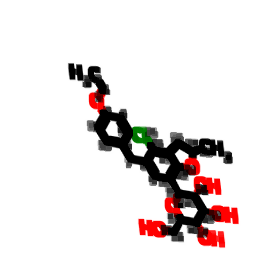 CCOc1ccc(Cc2cc([C@@H]3O[C@H](CO)[C@@H](O)[C@H](O)[C@H]3O)c3c(c2Cl)CC(C)O3)cc1